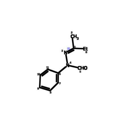 CC/C(C)=N\N(C=O)c1ccccc1